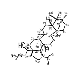 CC(C)C1=C2[C@H]3CC[C@@H]4[C@@]5(C)CC[C@H](C)C(C)(C)[C@H]5CC[C@@]4(C)[C@]3(C)CC[C@@]2(C(O)CN)CC1